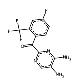 Nc1cnc(C(=O)c2ccc(F)cc2C(F)(F)F)nc1N